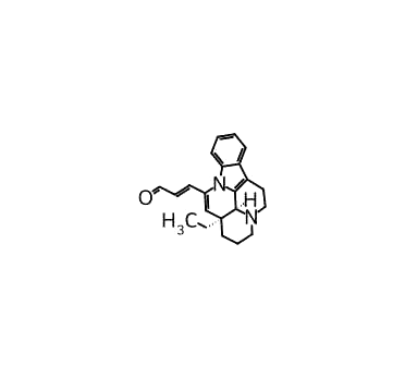 CC[C@@]12C=C(/C=C/C=O)n3c4c(c5ccccc53)CCN(CCC1)[C@H]42